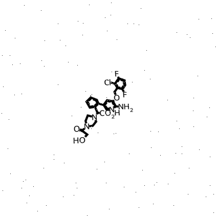 Nc1ncc(-c2c[c]ccc2C(C(=O)O)N2CCN(C(=O)CO)CC2)cc1OCc1c(F)ccc(F)c1Cl